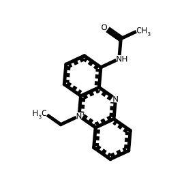 CC[n+]1c2ccccc2nc2c(NC(C)=O)cccc21